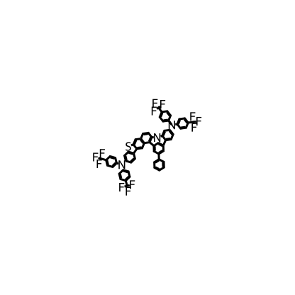 FC(F)(F)c1ccc(N(c2ccc(C(F)(F)F)cc2)c2ccc3c(c2)sc2cc4ccc5c(c4cc23)c2cc(-c3ccccc3)cc3c4ccc(N(c6ccc(C(F)(F)F)cc6)c6ccc(C(F)(F)F)cc6)cc4n5c32)cc1